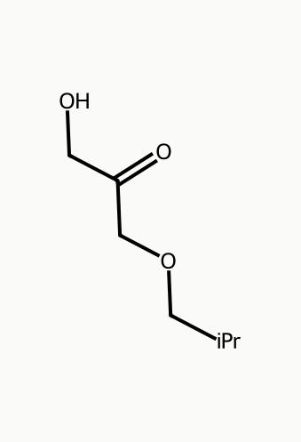 CC(C)COCC(=O)CO